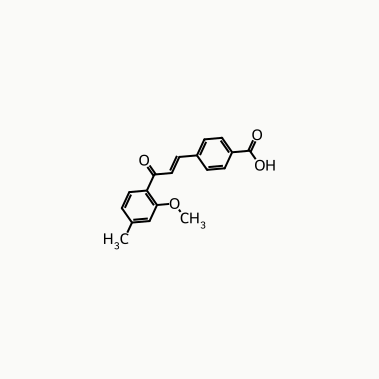 COc1cc(C)ccc1C(=O)C=Cc1ccc(C(=O)O)cc1